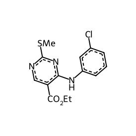 CCOC(=O)c1cnc(SC)nc1Nc1cccc(Cl)c1